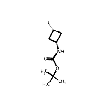 CC(C)(C)OC(=O)N[C@H]1C[C@H](I)C1